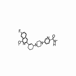 CNC(=O)c1ccc(N2CCN(C3C=C(c4cc5ccc(F)cc5c(OC)n4)CCC3)CC2)cn1